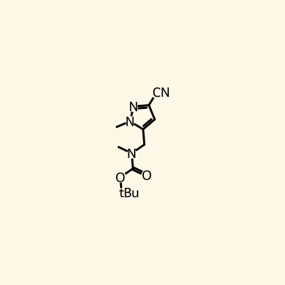 CN(Cc1cc(C#N)nn1C)C(=O)OC(C)(C)C